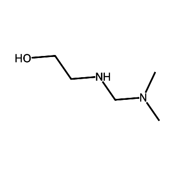 CN(C)CNCCO